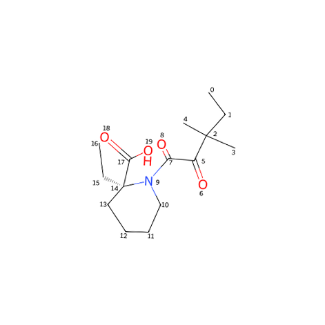 CCC(C)(C)C(=O)C(=O)N1CCCC[C@@]1(CC)C(=O)O